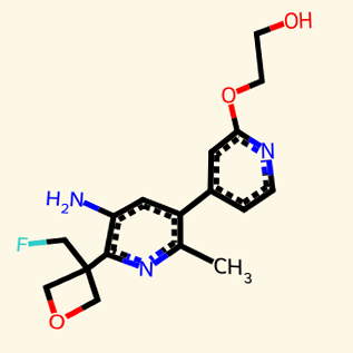 Cc1nc(C2(CF)COC2)c(N)cc1-c1ccnc(OCCO)c1